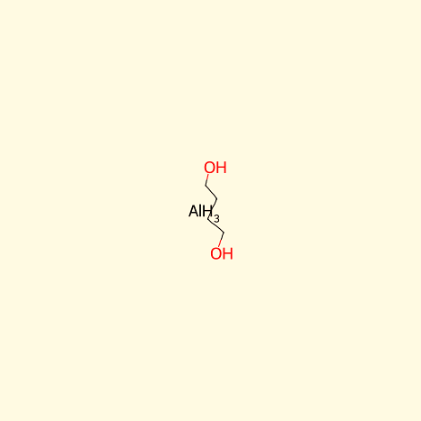 OCCCCO.[AlH3]